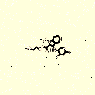 Cn1c(C(=O)NOCCO)c(Nc2ccc(I)cc2F)c2cnccc21